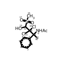 CC(=O)NC(F)(c1ccccc1)C(Cl)(Cl)C(O)S(C)(=O)=O